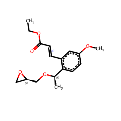 CCOC(=O)/C=C/c1cc(OC)ccc1[C@@H](C)OC[C@H]1CO1